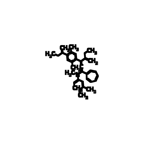 C=C/C(C)=C\C(=C/C)N(C)C(=C=C(C(=C)CC)c1cc(C)c(C(=C)CC)cc1C)C1=C=CC=CC=C1